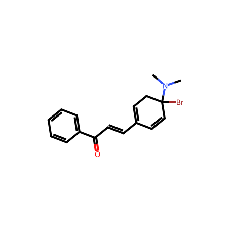 CN(C)C1(Br)C=CC(C=CC(=O)c2ccccc2)=CC1